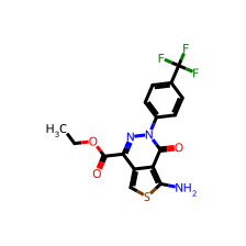 CCOC(=O)c1nn(-c2ccc(C(F)(F)F)cc2)c(=O)c2c(N)scc12